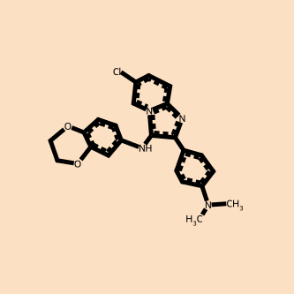 CN(C)c1ccc(-c2nc3ccc(Cl)cn3c2Nc2ccc3c(c2)OCCO3)cc1